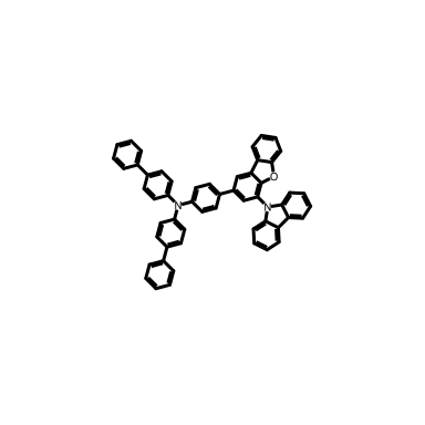 c1ccc(-c2ccc(N(c3ccc(-c4ccccc4)cc3)c3ccc(-c4cc(-n5c6ccccc6c6ccccc65)c5oc6ccccc6c5c4)cc3)cc2)cc1